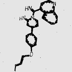 CCCCOc1ccc(-c2ccn(C(=N)c3ccnc4ccccc34)c(=N)c2)cc1